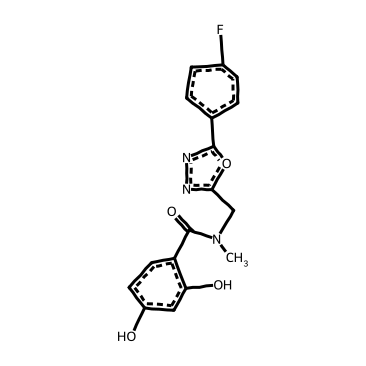 CN(Cc1nnc(-c2ccc(F)cc2)o1)C(=O)c1ccc(O)cc1O